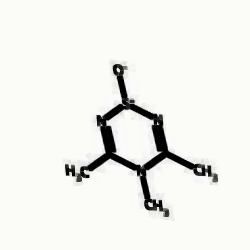 CC1=N[S+]([O-])N=C(C)N1C